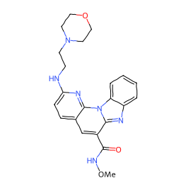 CONC(=O)c1cc2ccc(NCCN3CCOCC3)nc2n2c1nc1ccccc12